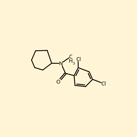 CN(C(=O)c1ccc(Cl)cc1Cl)C1CCCCC1